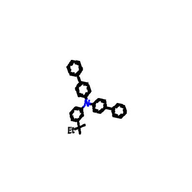 CCC(C)(C)c1cccc(N(c2ccc(-c3ccccc3)cc2)c2ccc(-c3ccccc3)cc2)c1